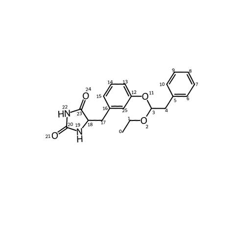 CCOC(Cc1ccccc1)Oc1cccc(CC2NC(=O)NC2=O)c1